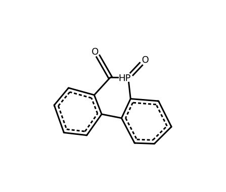 O=C1c2ccccc2-c2ccccc2[PH]1=O